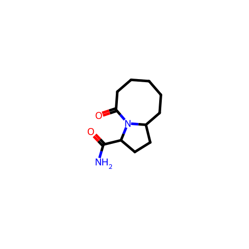 NC(=O)C1CCC2CCCCCC(=O)N21